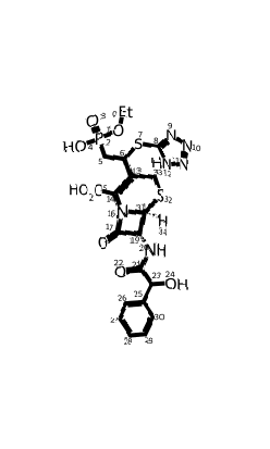 CCOP(=O)(O)CC(Sc1nnn[nH]1)C1=C(C(=O)O)N2C(=O)[C@@H](NC(=O)C(O)c3ccccc3)[C@@H]2SC1